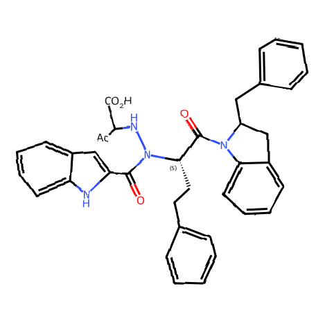 CC(=O)C(NN(C(=O)c1cc2ccccc2[nH]1)[C@@H](CCc1ccccc1)C(=O)N1c2ccccc2CC1Cc1ccccc1)C(=O)O